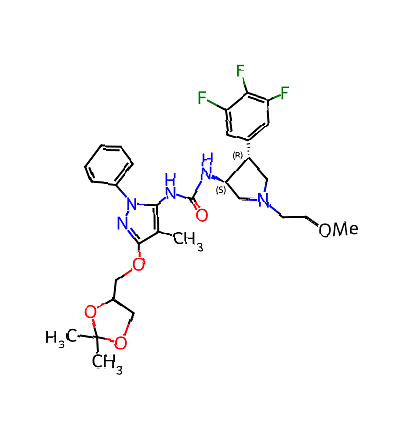 COCCN1C[C@@H](NC(=O)Nc2c(C)c(OCC3COC(C)(C)O3)nn2-c2ccccc2)[C@H](c2cc(F)c(F)c(F)c2)C1